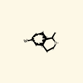 CC1OCCc2cc(Br)ccc21